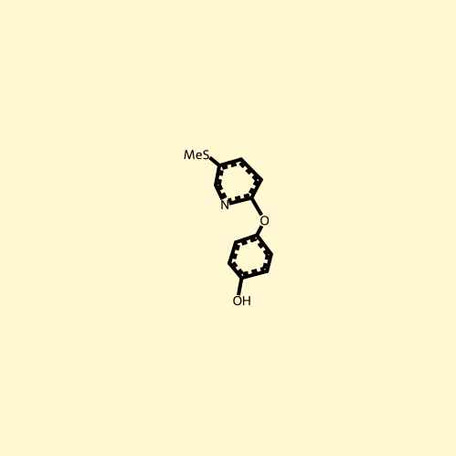 CSc1ccc(Oc2ccc(O)cc2)nc1